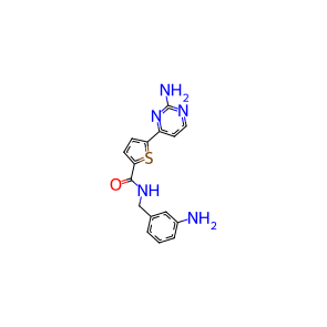 Nc1cccc(CNC(=O)c2ccc(-c3ccnc(N)n3)s2)c1